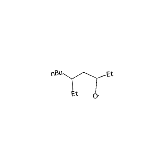 CCCCC(CC)CC([O])CC